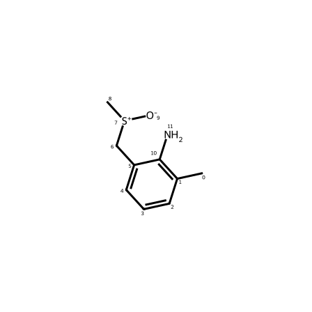 Cc1cccc(C[S+](C)[O-])c1N